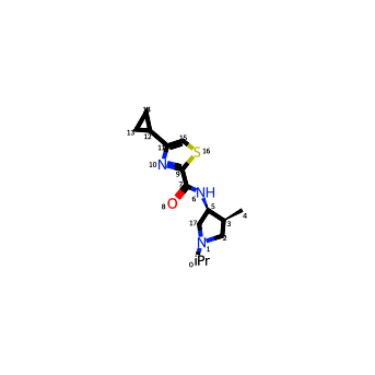 CC(C)N1C[C@H](C)[C@H](NC(=O)c2nc(C3CC3)cs2)C1